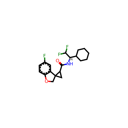 O=C(N[C@@H](C(F)F)C1CCCCC1)C1CC12COc1ccc(F)cc12